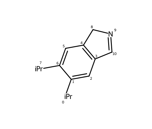 CC(C)c1cc2c(cc1C(C)C)CN=C2